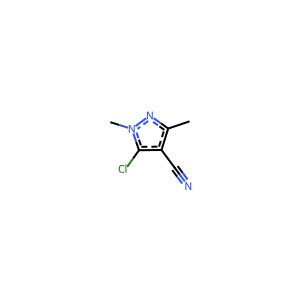 Cc1nn(C)c(Cl)c1C#N